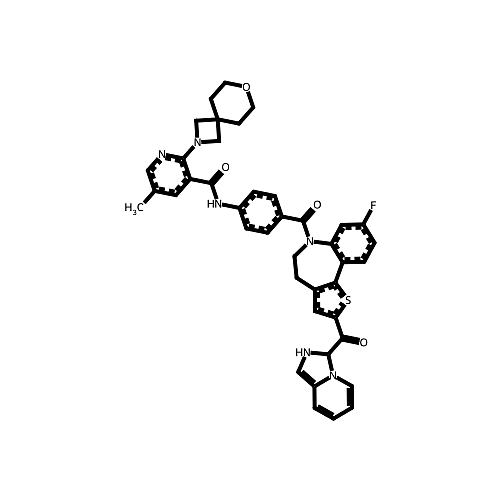 Cc1cnc(N2CC3(CCOCC3)C2)c(C(=O)Nc2ccc(C(=O)N3CCc4cc(C(=O)C5NC=C6C=CC=CN65)sc4-c4ccc(F)cc43)cc2)c1